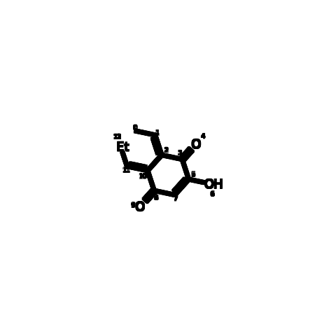 C/C=C1/C(=O)C(O)=CC(=O)/C1=C/CC